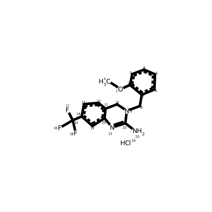 COc1ccccc1CN1Cc2ccc(C(F)(F)F)cc2N=C1N.Cl